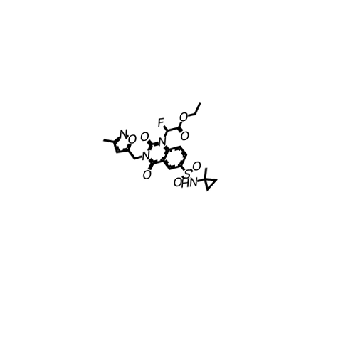 CCOC(=O)C(F)n1c(=O)n(Cc2cc(C)no2)c(=O)c2cc(S(=O)(=O)NC3(C)CC3)ccc21